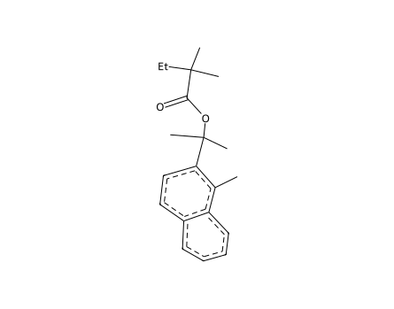 CCC(C)(C)C(=O)OC(C)(C)c1ccc2ccccc2c1C